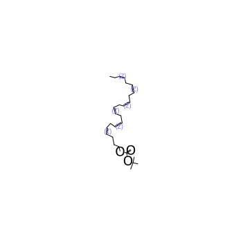 CC/C=C\C/C=C\C/C=C\C/C=C\C/C=C\C/C=C\CCCOC(=O)OC(C)(C)C